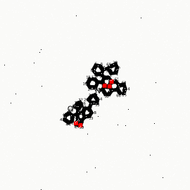 c1ccc(-c2ccccc2-c2ccccc2-c2ccccc2N(c2ccc(-c3ccc4c(c3)C3(c5ccccc5Oc5ccccc53)c3ccccc3-4)cc2)c2ccc3c(ccc4ccccc43)c2)cc1